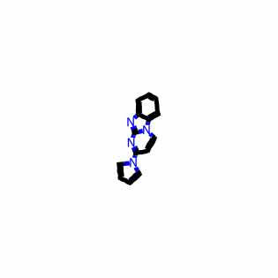 c1ccc2c(c1)nc1nc(-n3cccc3)ccn12